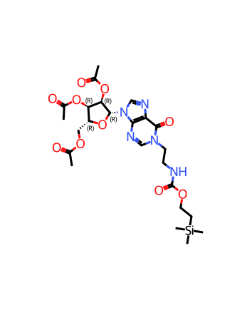 CC(=O)OC[C@H]1O[C@@H](n2cnc3c(=O)n(CCNC(=O)OCC[Si](C)(C)C)cnc32)[C@H](OC(C)=O)[C@@H]1OC(C)=O